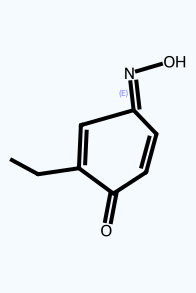 CCC1=C/C(=N/O)C=CC1=O